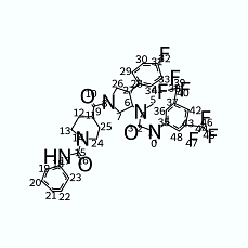 CN(C(=O)N(C)[C@@H]1CN(C(=O)C2CCN(C(=O)Nc3ccccc3)CC2)C[C@H]1c1ccc(F)cc1)c1cc(C(F)(F)F)cc(C(F)(F)F)c1